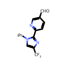 CC(C)n1cc(C(F)(F)F)nc1-c1ccc(C=O)cn1